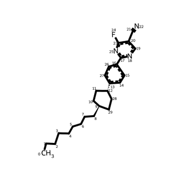 CCCCCCCCC[C@H]1CC[C@H](c2ccc(-c3ncc(C#N)c(F)n3)cc2)CC1